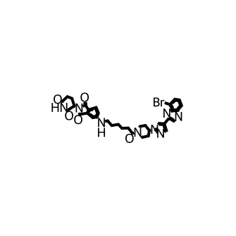 O=C1CCC(N2C(=O)c3ccc(NCCCCCC(=O)N4CCC(n5cc(-c6cnc7cccc(Br)c7n6)cn5)CC4)cc3C2=O)C(=O)N1